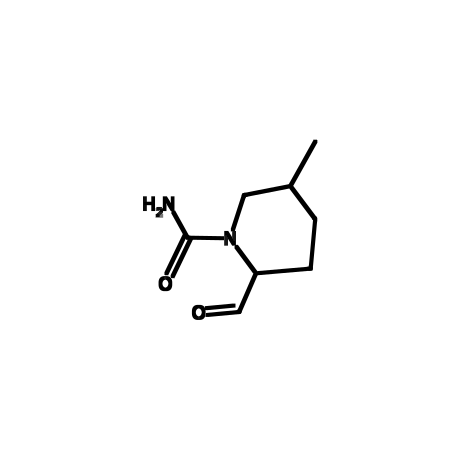 CC1CCC(C=O)N(C(N)=O)C1